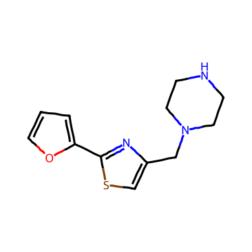 c1coc(-c2nc(CN3CCNCC3)cs2)c1